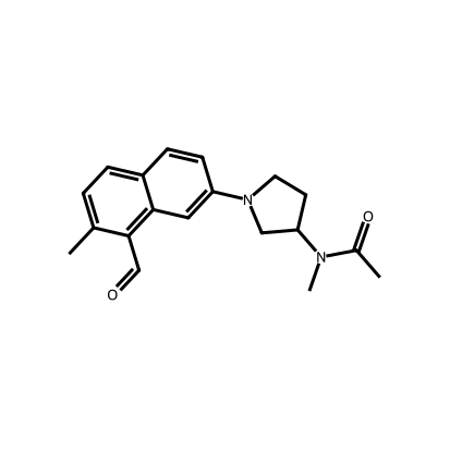 CC(=O)N(C)C1CCN(c2ccc3ccc(C)c(C=O)c3c2)C1